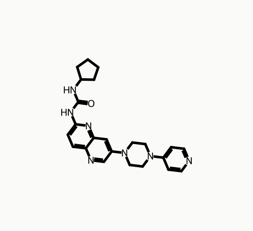 O=C(Nc1ccc2ncc(N3CCN(c4ccncc4)CC3)cc2n1)NC1CCCC1